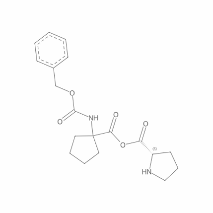 O=C(NC1(C(=O)OC(=O)[C@@H]2CCCN2)CCCC1)OCc1ccccc1